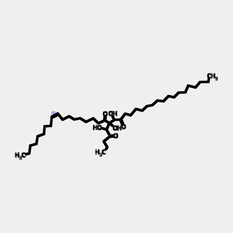 CCCCCCCC/C=C\CCCCCCCC(=O)C(O)(C(O)C(=O)CCC)C(O)C(=O)CCCCCCCCCCCCCCCCC